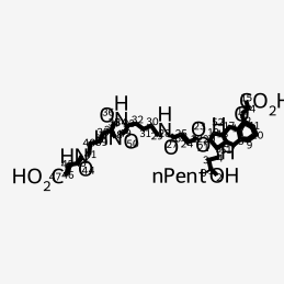 CCCCC[C@H](O)CC[C@@H]1[C@H]2Cc3cccc(OCC(=O)O)c3C[C@H]2C[C@H]1OC(=O)/C=C/C(=O)NCCCCC1NC(=O)C(CCCCNC(=O)/C=C/C(=O)O)NC1=O